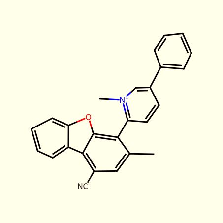 Cc1cc(C#N)c2c(oc3ccccc32)c1-c1ccc(-c2ccccc2)c[n+]1C